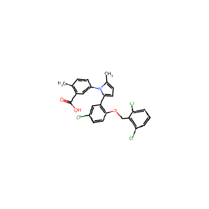 Cc1ccc(-n2c(C)ccc2-c2cc(Cl)ccc2OCc2c(Cl)cccc2Cl)cc1C(=O)O